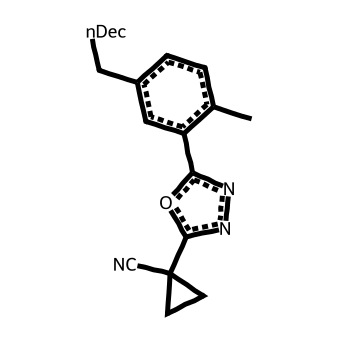 CCCCCCCCCCCc1ccc(C)c(-c2nnc(C3(C#N)CC3)o2)c1